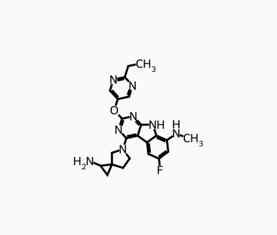 CCc1ncc(Oc2nc(N3CCC4(CC4N)C3)c3c(n2)[nH]c2c(NC)cc(F)cc23)cn1